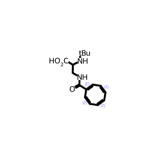 CC(C)(C)NC(CNC(=O)C1=C/C=C\C=C/C=C\1)C(=O)O